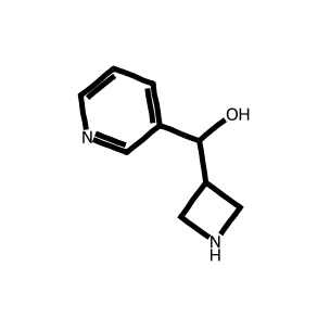 OC(c1cccnc1)C1CNC1